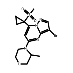 CC1COCCN1c1cc(C2(S(C)(=O)=O)CC2)n2ncc(Br)c2n1